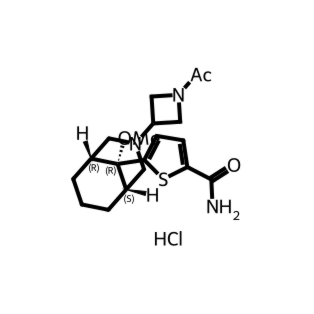 CO[C@@]1(c2ccc(C(N)=O)s2)[C@@H]2CCC[C@H]1CN(C1CN(C(C)=O)C1)C2.Cl